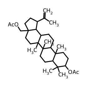 C=C(C)C1CCC2(COC(C)=O)CCC3(C)C(CCC4C5(C)CCC(OC(C)=O)C(C)(C)C5CCC43C)C12